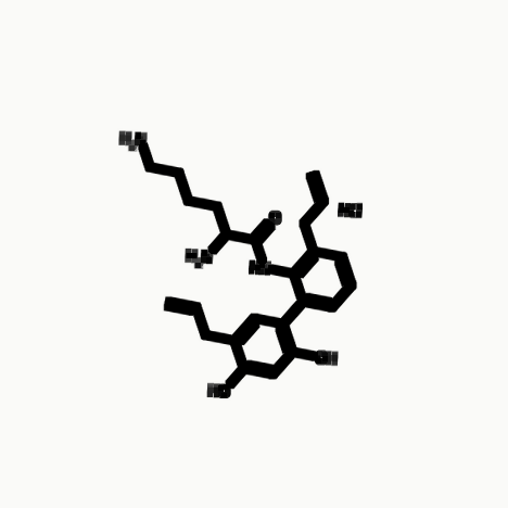 C=CCc1cc(-c2cccc(CC=C)c2NC(=O)C(N)CCCCN)c(O)cc1O.Cl